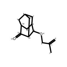 C=C(C)COC1C2CC3CC(C2)C(=O)C1C3